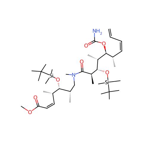 C=C/C=C\[C@H](C)[C@H](OC(N)=O)[C@@H](C)[C@H](O[Si](C)(C)C(C)(C)C)[C@@H](C)C(=O)N(C)C[C@H](C)[C@@H](O[Si](C)(C)C(C)(C)C)[C@@H](C)/C=C\C(=O)OC